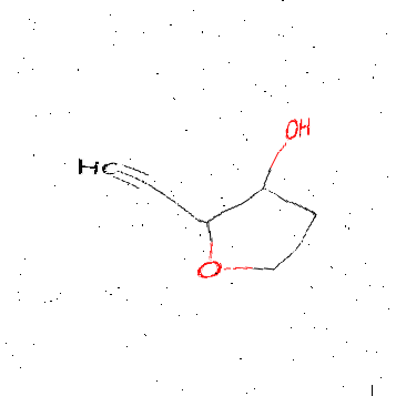 C#CC1OCCC1O